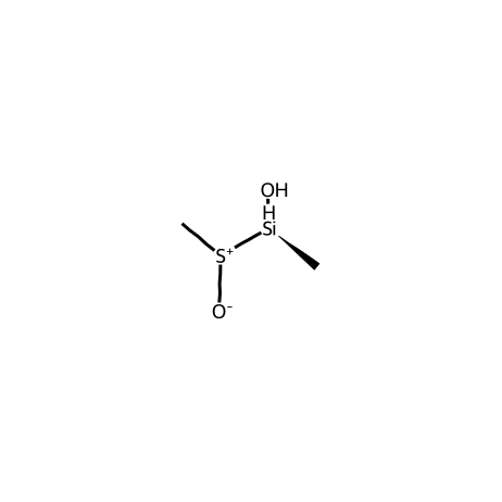 C[Si@H](O)[S+](C)[O-]